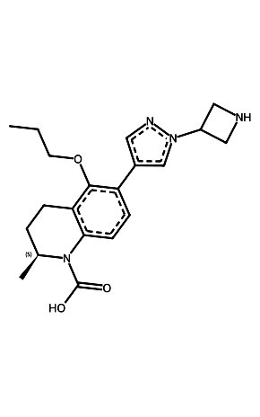 CCCOc1c(-c2cnn(C3CNC3)c2)ccc2c1CC[C@H](C)N2C(=O)O